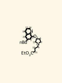 CCCCc1cc(O[C@@H]2CCN(CCCC(=O)OCC)C2)c2ncccc2c1